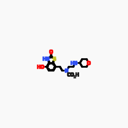 O=C(O)N(CCNC1CCOCC1)CCc1ccc(O)c2[nH]c(=O)sc12